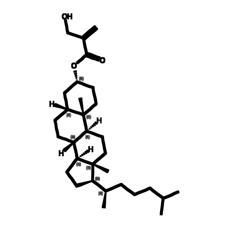 C=C(CO)C(=O)O[C@@H]1CC[C@@]2(C)[C@H](CC[C@@H]3[C@@H]2CC[C@]2(C)[C@@H]([C@H](C)CCCC(C)C)CC[C@@H]32)C1